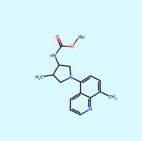 Cc1ccc(N2CC(C)C(NC(=O)OC(C)(C)C)C2)c2cccnc12